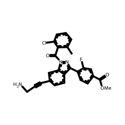 COC(=O)c1ccc(-c2nn(C(=O)c3c(C)cccc3Cl)c3cc(C#CCN)ccc23)c(F)c1